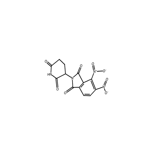 O=C1CCC(N2C(=O)c3ccc([N+](=O)[O-])c([N+](=O)[O-])c3C2=O)C(=O)N1